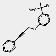 [CH2]C(CC)(OC)c1cccc(OCC#Cc2ccccc2)c1